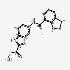 COC(=O)c1cc2cc(NC(=O)c3cccc4c3OCC4)cnc2[nH]1